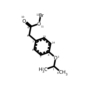 CC(C)Oc1ccc(CC(=O)OBr)cc1